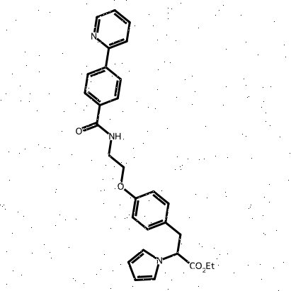 CCOC(=O)C(Cc1ccc(OCCNC(=O)c2ccc(-c3ccccn3)cc2)cc1)n1cccc1